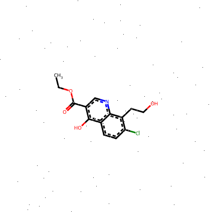 CCOC(=O)c1cnc2c(CCO)c(Cl)ccc2c1O